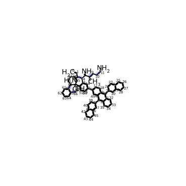 C=C/C(N)=C(\C(=N)/C(C)=C/C=C\N)c1cc(-c2ccc3c(-c4ccc5ccccc5c4)c4ccccc4c(-c4ccc5ccccc5c4)c3c2)ccc1C1(C)C=CCC/C1=c1\cccc\c1=C\C